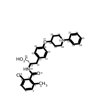 Cc1cccc(Cl)c1C(=O)N[C@@H](Cc1ccc(OC2CCN(c3ccccc3)CC2)cc1)C(=O)O